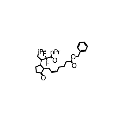 CCCC(=O)C(F)(F)C(CC(C)C)[C@@H]1CCC(=O)[C@@H]1C/C=C\CCCC(=O)OCc1ccccc1